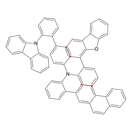 c1ccc(N(c2ccc(-c3ccccc3-n3c4ccccc4c4ccccc43)cc2)c2ccccc2-c2cccc3c2oc2ccccc23)c(-c2ccc3c(ccc4ccccc43)c2)c1